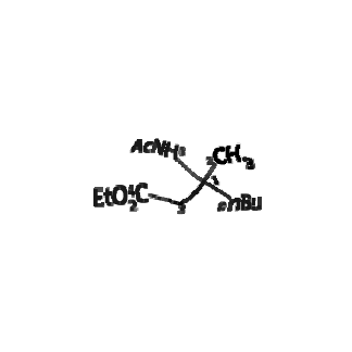 CCCCC(C)(CC(=O)OCC)NC(C)=O